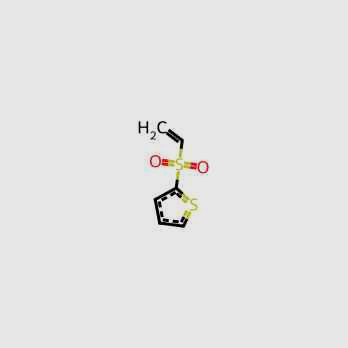 C=CS(=O)(=O)c1cccs1